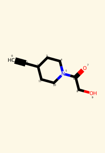 C#CC1CCN(C(=O)CO)CC1